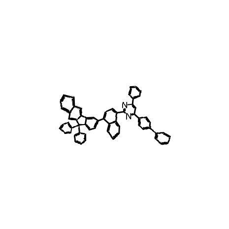 c1ccc(-c2ccc(-c3cc(-c4ccccc4)nc(-c4ccc(-c5ccc6c(c5)-c5cc7ccccc7cc5C6(c5ccccc5)c5ccccc5)c5ccccc45)n3)cc2)cc1